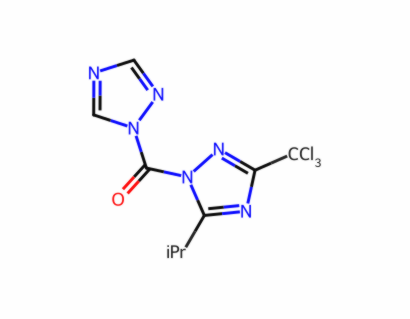 CC(C)c1nc(C(Cl)(Cl)Cl)nn1C(=O)n1cncn1